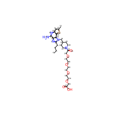 CCCCc1nc2c(N)nc3cc(C)sc3c2n1CC1CCN(C(=O)COCCOCCOCCOCC(=O)O)CC1